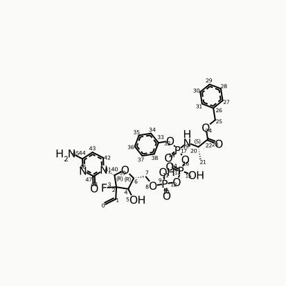 C=CC1(F)C(O)[C@@H](COP(=O)(O)OP(=O)(O)OP(=O)(N[C@@H](C)C(=O)OCc2ccccc2)Oc2ccccc2)O[C@H]1n1ccc(N)nc1=O